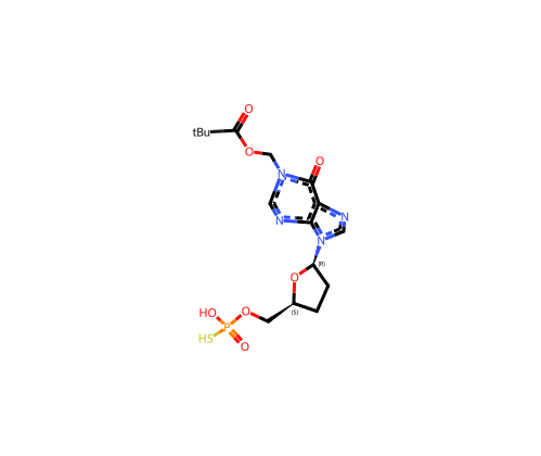 CC(C)(C)C(=O)OCn1cnc2c(ncn2[C@H]2CC[C@@H](COP(=O)(O)S)O2)c1=O